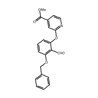 COC(=O)c1ccnc(Oc2cccc(OCc3ccccc3)c2C=O)c1